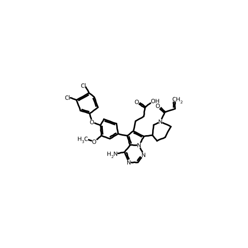 C=CC(=O)N1CCCC(c2c(CCC(=O)O)c(-c3ccc(Oc4ccc(Cl)c(Cl)c4)c(OC)c3)c3c(N)ncnn23)C1